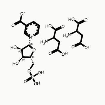 NC(CC(=O)O)C(=O)O.NC(CC(=O)O)C(=O)O.O=C([O-])c1ccc[n+]([C@@H]2O[C@H](COP(=O)(O)O)[C@@H](O)[C@H]2O)c1